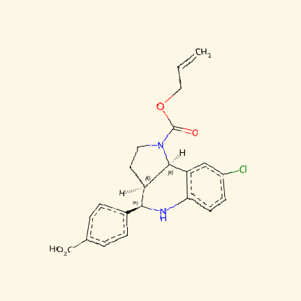 C=CCOC(=O)N1CC[C@@H]2[C@H](c3ccc(C(=O)O)cc3)Nc3ccc(Cl)cc3[C@@H]21